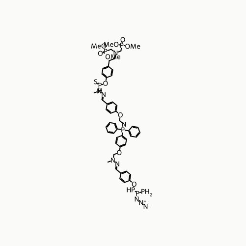 COP(=O)(CN(CCc1ccc(O[PH](=S)N(C)N=Cc2ccc(OCN=P(c3ccccc3)(c3ccccc3)c3ccc(OCN(C)N=Cc4ccc(OPP(P)N=[N+]=[N-])cc4)cc3)cc2)cc1)CP(=O)(OC)OC)OC